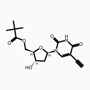 C#Cc1cn([C@H]2C[C@H](O)[C@@H](COC(=O)C(C)(C)C)O2)c(=O)[nH]c1=O